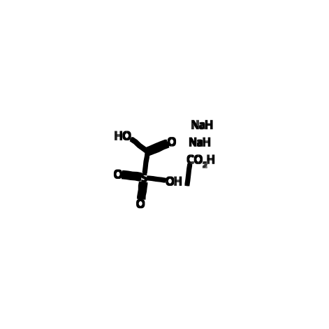 CC(=O)O.O=C(O)S(=O)(=O)O.[NaH].[NaH]